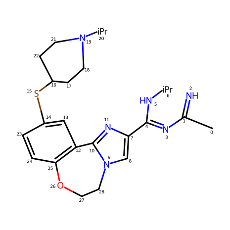 CC(=N)/N=C(\NC(C)C)c1cn2c(n1)-c1cc(SC3CCN(C(C)C)CC3)ccc1OCC2